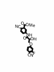 COC(=O)C1C=C(NC(=O)[C@@H](O)COc2ccc(C#N)c(F)c2)C=CC1C#N